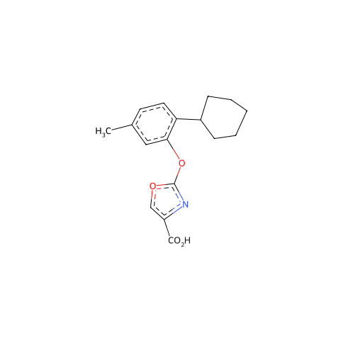 Cc1ccc(C2CCCCC2)c(Oc2nc(C(=O)O)co2)c1